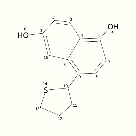 Oc1ccc2c(O)ccc(C3CCCS3)c2c1